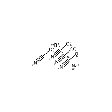 N#C[O-].N#C[O-].N#C[O-].N#C[O-].[B+3].[Na+]